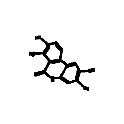 O=c1[nH]c2cc(O)c(O)cc2c2ccc(O)c(O)c12